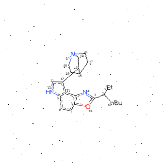 CCCCC(CC)c1nc2c(ccc3[nH]cc(C4CN5CCC4CC5)c32)o1